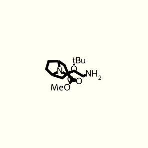 COC(=O)C1(CCN)CC2CCC(C1)N2C(=O)OC(C)(C)C